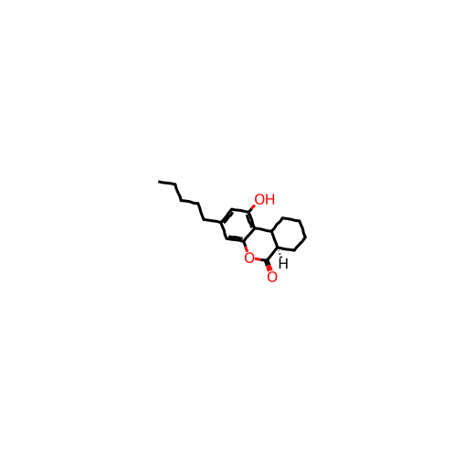 CCCCCc1cc(O)c2c(c1)OC(=O)[C@@H]1CCCCC21